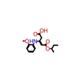 CCC(C)OC(=O)C=C(CC(=O)O)Nc1ccccc1OC